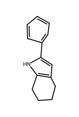 c1ccc(-c2cc3c([nH]2)CCCC3)cc1